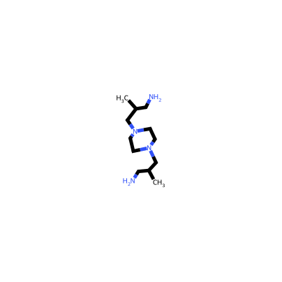 CC(CN)CN1CCN(CC(C)CN)CC1